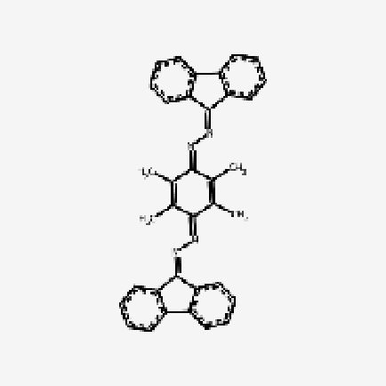 CC1=C(C)C(=NN=C2c3ccccc3-c3ccccc32)C(C)=C(C)C1=NN=C1c2ccccc2-c2ccccc21